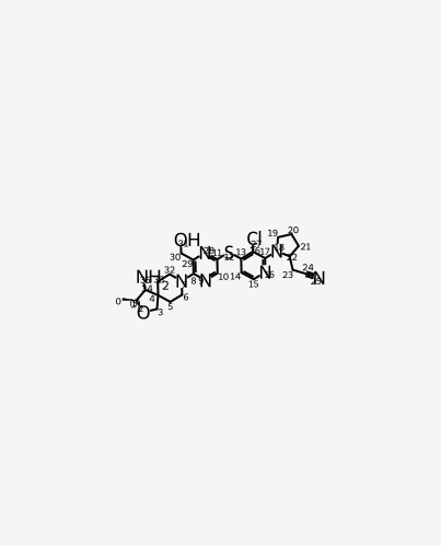 C[C@@H]1OCC2(CCN(c3ncc(Sc4ccnc(N5CCCC5CC#N)c4Cl)nc3CO)CC2)C1N